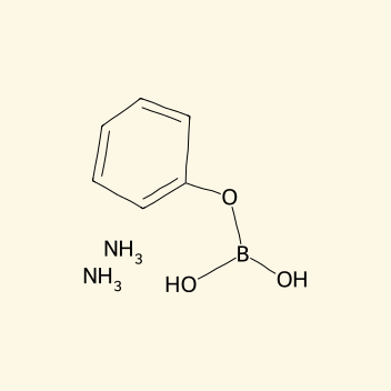 N.N.OB(O)Oc1ccccc1